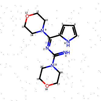 N=C(/N=C(\c1ccc[nH]1)N1CCOCC1)N1CCOCC1